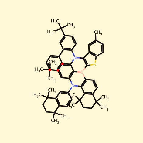 Cc1ccc2sc3c(c2c1)N(c1ccc(C(C)(C)C)cc1-c1ccccc1)c1cc(C(C)(C)C)cc2c1B3c1ccc3c(c1N2c1ccc2c(c1)C(C)(C)CCC2(C)C)C(C)(C)CCC3(C)C